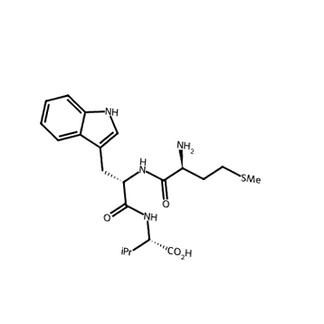 CSCC[C@H](N)C(=O)N[C@@H](Cc1c[nH]c2ccccc12)C(=O)N[C@H](C(=O)O)C(C)C